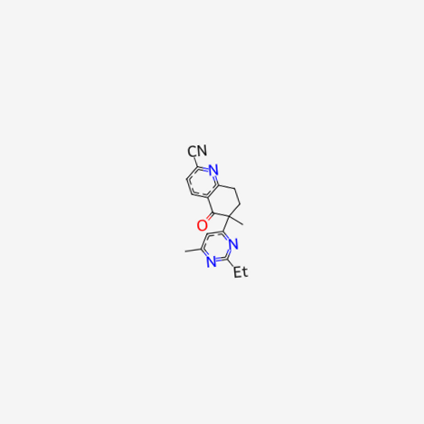 CCc1nc(C)cc(C2(C)CCc3nc(C#N)ccc3C2=O)n1